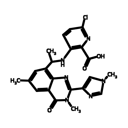 Cc1cc(C(C)Nc2ccc(Cl)nc2C(=O)O)c2nc(-c3cn(C)cn3)n(C)c(=O)c2c1